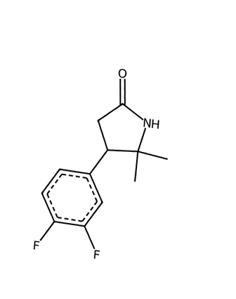 CC1(C)NC(=O)CC1c1ccc(F)c(F)c1